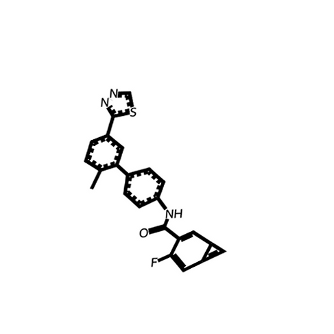 Cc1ccc(-c2nncs2)cc1-c1ccc(NC(=O)C2=CC3C=C3C=C2F)cc1